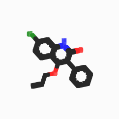 C=CCOc1c(-c2ccccc2)c(=O)[nH]c2cc(Cl)ccc12